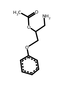 CC(=O)OC(CN)COc1ccccc1